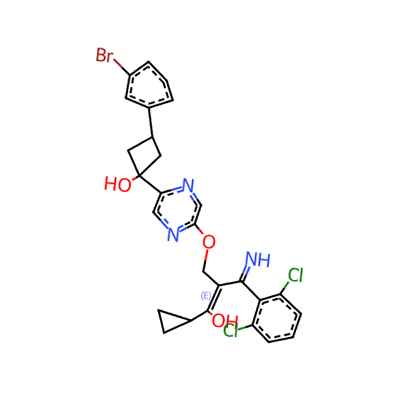 N=C(/C(COc1cnc(C2(O)CC(c3cccc(Br)c3)C2)cn1)=C(\O)C1CC1)c1c(Cl)cccc1Cl